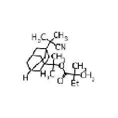 CCC(C)(C)C(=O)OC(C)(C)C12CC3C[C@H](CC(C(C)(C)C#N)(C3)C1)C2